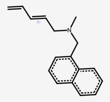 C=C/C=C/CN(C)Cc1cccc2ccccc12